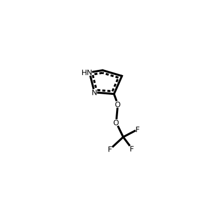 FC(F)(F)OOc1cc[nH]n1